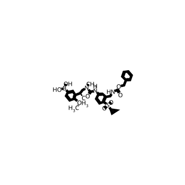 COc1ccc(B(O)O)cc1[C@H](C)CN(C)C(=O)Nc1ccc(S(=O)(=O)C2CC2)c(CNC(=O)OCc2ccccc2)c1